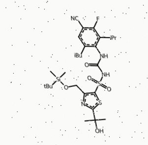 CCC(C)c1cc(C#N)c(F)c(C(C)C)c1NC(=O)NS(=O)(=O)c1sc(C(C)(C)O)nc1CO[Si](C)(C)C(C)(C)C